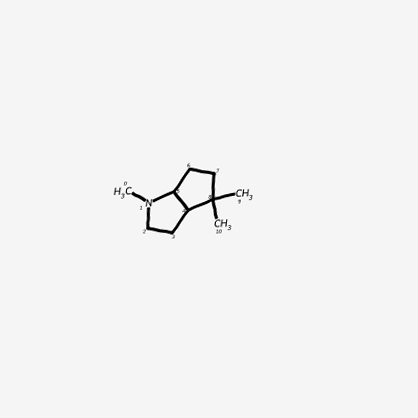 CN1CCC2C1CCC2(C)C